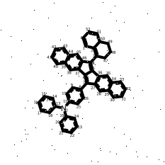 C1=CC2=C(C3=C4C(=C(c5ccc(N(c6ccccc6)c6ccccc6)cc5)c5cc6ccccc6cc54)c4cc5ccccc5cc43)CCCC2C=C1